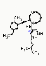 C=Cc1ccc(C)c(C#Cc2cncccccn2N/C(C=N)=C/NCCN(C)C)c1